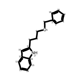 c1ccc(COCCCc2cc3ccccc3[nH]2)cc1